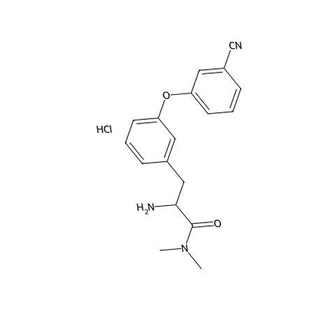 CN(C)C(=O)C(N)Cc1cccc(Oc2cccc(C#N)c2)c1.Cl